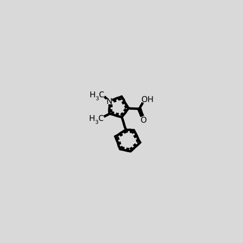 Cc1c(-c2ccccc2)c(C(=O)O)cn1C